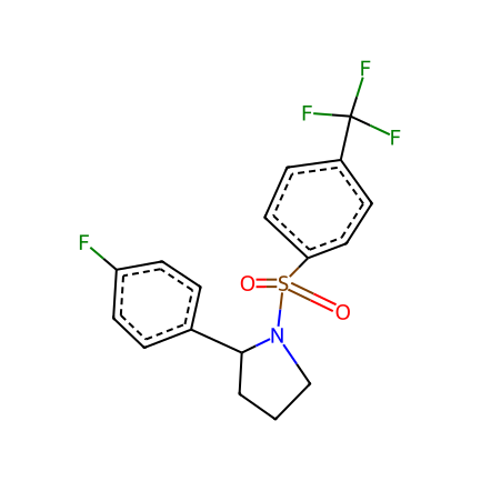 O=S(=O)(c1ccc(C(F)(F)F)cc1)N1CCCC1c1ccc(F)cc1